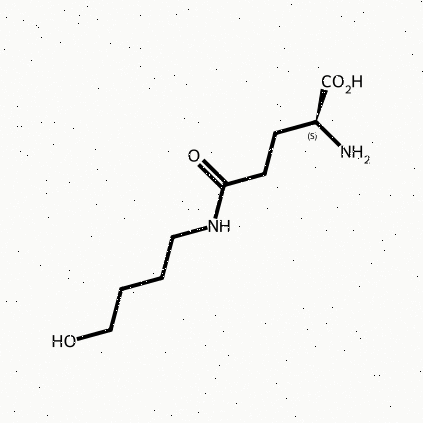 N[C@@H](CCC(=O)NCCCCO)C(=O)O